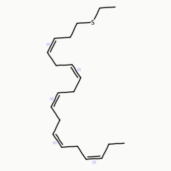 CC/C=C\C/C=C\C/C=C\C/C=C\C/C=C\CCSCC